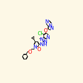 Cn1c(Nc2cc(C3CC3)cn(CCOCc3ccccc3)c2=O)nc2ncc(Oc3cnn4ccncc34)c(Cl)c21